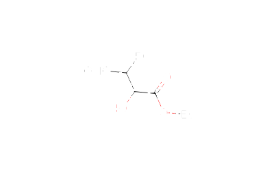 CCOC(=O)C(O)C(C=O)CC